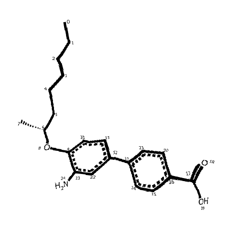 CCCCCC[C@@H](C)Oc1ccc(-c2ccc(C(=O)O)cc2)cc1N